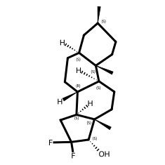 C[C@H]1CC[C@@]2(C)[C@@H](CC[C@@H]3[C@@H]2CC[C@]2(C)[C@H](O)C(F)(F)C[C@@H]32)C1